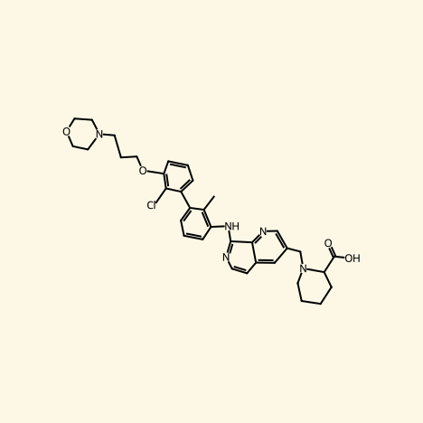 Cc1c(Nc2nccc3cc(CN4CCCCC4C(=O)O)cnc23)cccc1-c1cccc(OCCCN2CCOCC2)c1Cl